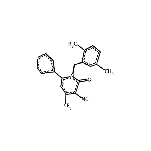 [C-]#[N+]c1c(C(F)(F)F)cc(-c2ccccc2)n(Cc2cc(C)ccc2C)c1=O